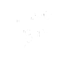 CC(C)(C)OC(=O)N1CC(O)CC1CC(NC(=O)OCc1ccccc1)c1c[nH]c2cc(F)ccc12